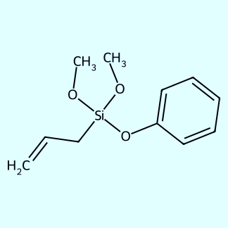 C=CC[Si](OC)(OC)Oc1ccccc1